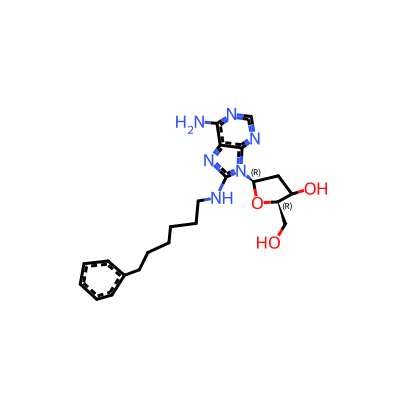 Nc1ncnc2c1nc(NCCCCCCc1ccccc1)n2[C@H]1CC(O)[C@@H](CO)O1